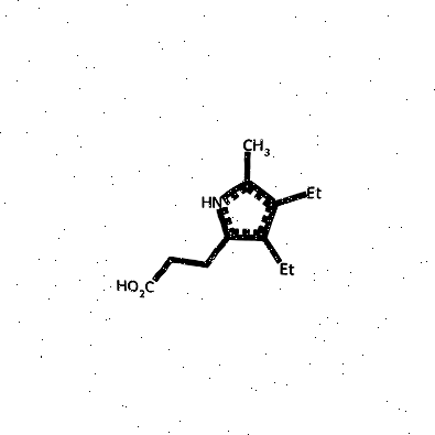 CCc1c(C)[nH]c(CCC(=O)O)c1CC